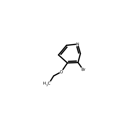 CCOc1ccncc1Br